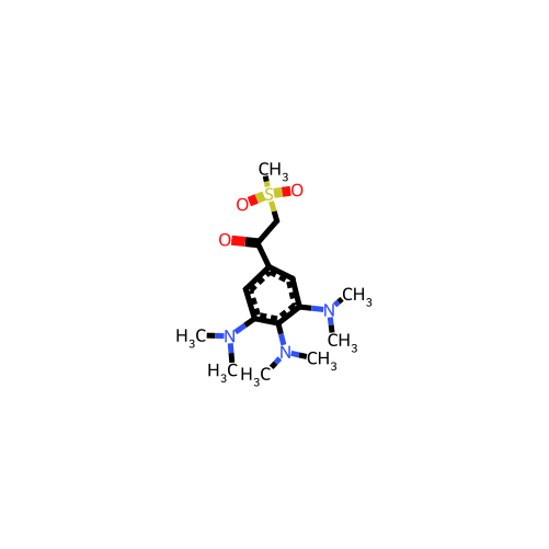 CN(C)c1cc(C(=O)CS(C)(=O)=O)cc(N(C)C)c1N(C)C